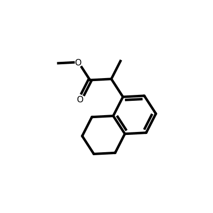 COC(=O)C(C)c1cccc2c1CCCC2